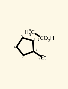 CC(=O)O.CCC1CCCC1